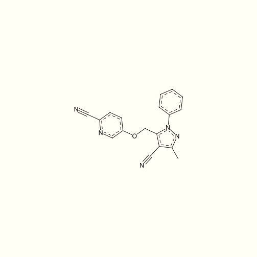 Cc1nn(-c2ccccc2)c(COc2ccc(C#N)nc2)c1C#N